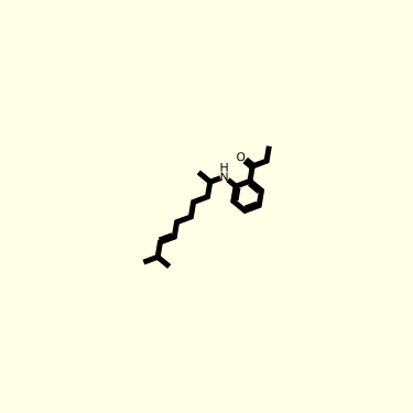 CCC(=O)c1ccccc1NC(C)CCCC/C=C/C(C)C